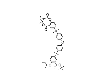 CCC(C)Oc1ccc(C(C)(C)c2ccc(Oc3ccc(C(C)(C)c4ccc5c(c4)C(=O)OC(C)(C)C(C)(CC)C(=O)O5)cc3)cc2)cc1C(=O)OC(C)(C)C